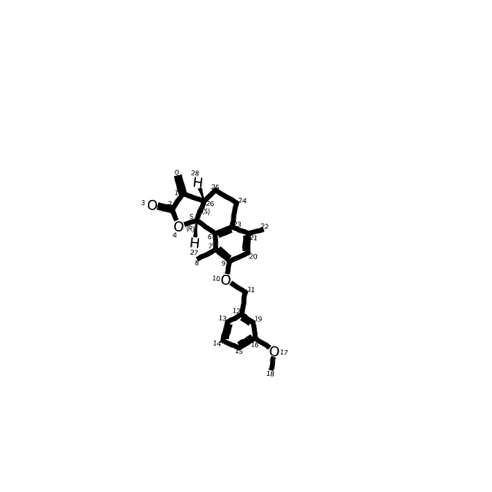 C=C1C(=O)O[C@H]2c3c(C)c(OCc4cccc(OC)c4)cc(C)c3CC[C@@H]12